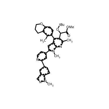 COC(=O)C(OC(C)(C)C)c1c(C)nc2c(cc(-c3ccnc(-c4ccc5c(cnn5C)c4)c3)n2C)c1-c1ccc2c(c1C)CCCO2